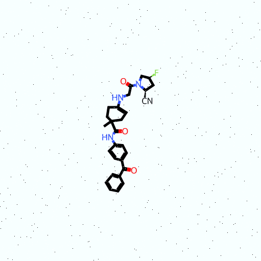 CC1(C(=O)Nc2ccc(C(=O)c3ccccc3)cc2)CC=C(NCC(=O)N2C[C@@H](F)C[C@H]2C#N)CC1